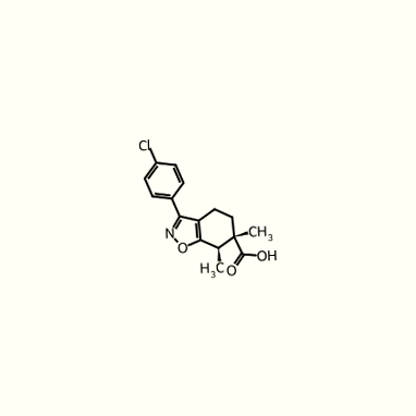 C[C@H]1c2onc(-c3ccc(Cl)cc3)c2CC[C@]1(C)C(=O)O